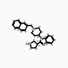 c1ccc2cc(CN3CCC(n4c(C5CCNC5)nc5ccccc54)CC3)ccc2c1